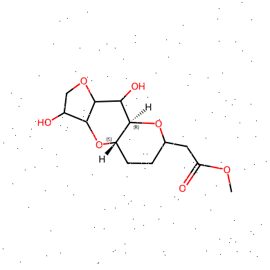 COC(=O)CC1CC[C@@H]2OC3C(O)COC3C(O)[C@H]2O1